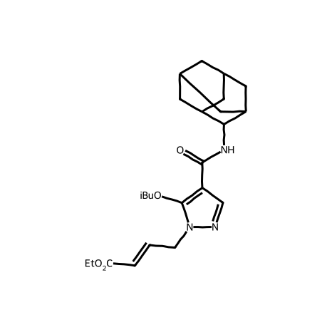 CCOC(=O)/C=C/Cn1ncc(C(=O)NC2C3CC4CC(C3)CC2C4)c1OCC(C)C